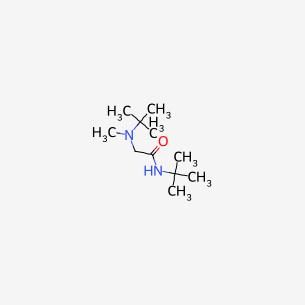 CN(CC(=O)NC(C)(C)C)C(C)(C)C